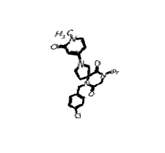 CC(C)N1CC(=O)N(Cc2ccc(Cl)cc2)C2(CCN(c3ccn(C)c(=O)c3)C2)C1=O